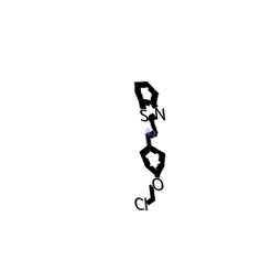 ClCCOc1ccc(/C=C/c2nc3ccccc3s2)cc1